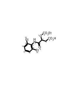 CCOC(=O)OC(CC(=O)O)C(=O)Nc1c(CC)cccc1CC